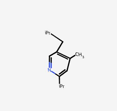 Cc1cc(C(C)C)ncc1CC(C)C